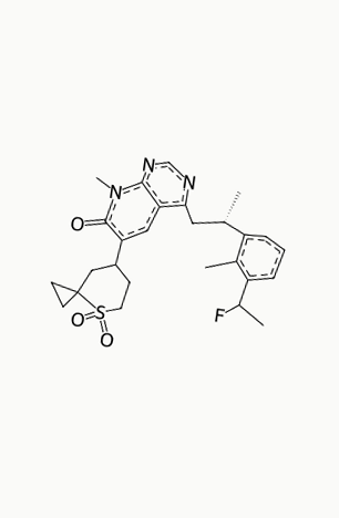 Cc1c(C(C)F)cccc1[C@@H](C)Cc1ncnc2c1cc(C1CCS(=O)(=O)C3(CC3)C1)c(=O)n2C